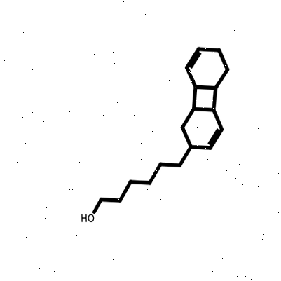 OCCCCCCC1C=CC2C3CCC=CC3C2C1